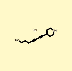 Cl.OCCCC#CC#CC1=CCNCC1